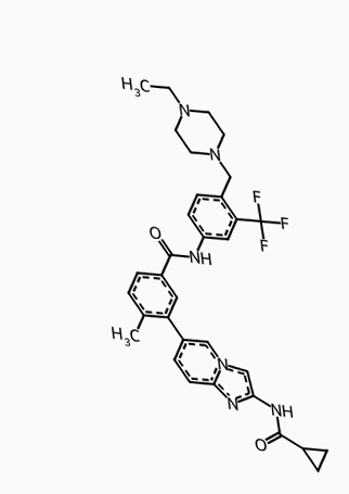 CCN1CCN(Cc2ccc(NC(=O)c3ccc(C)c(-c4ccc5nc(NC(=O)C6CC6)cn5c4)c3)cc2C(F)(F)F)CC1